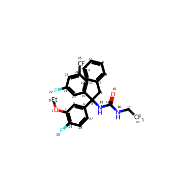 CCOc1cc(C(Cc2ccccc2)(NC(=O)NCC(F)(F)F)c2cc(F)cc(C(F)(F)F)c2)ccc1F